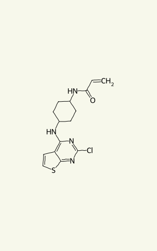 C=CC(=O)NC1CCC(Nc2nc(Cl)nc3sccc23)CC1